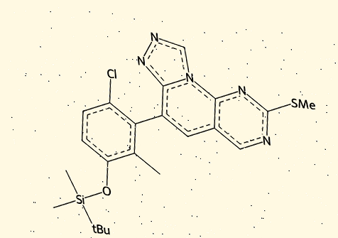 CSc1ncc2cc(-c3c(Cl)ccc(O[Si](C)(C)C(C)(C)C)c3C)c3nncn3c2n1